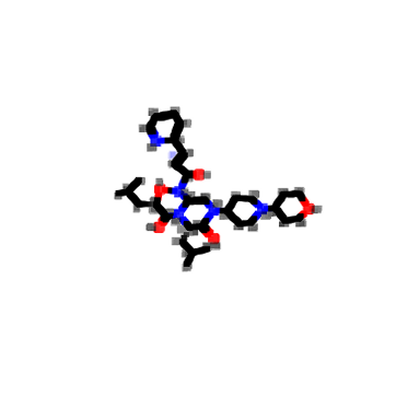 CC(C)C[C@H]1ON(C(=O)/C=C/c2ccccn2)C2=CN(C3CCN(C4CCOCC4)CC3)C(=O)[C@H](CC(C)C)N2C1=O